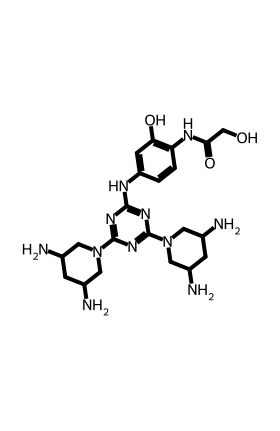 NC1CC(N)CN(c2nc(Nc3ccc(NC(=O)CO)c(O)c3)nc(N3CC(N)CC(N)C3)n2)C1